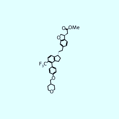 COC(=O)C[C@@H]1COc2cc(CC[C@@H]3CCc4c3ccc(C(F)(F)F)c4-c3ccc(OCC4CCOCC4)cc3)ccc21